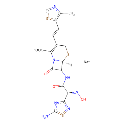 Cc1ncsc1C=CC1=C(C(=O)[O-])N2C(=O)C(NC(=O)C(=NO)c3nsc(N)n3)[C@@H]2SC1.[Na+]